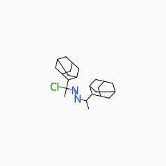 CC(N=NC(C)(Cl)C1C2CC3CC(C2)CC1C3)C1C2CC3CC(C2)CC1C3